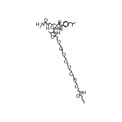 CCCCC(=O)NCCOCCOCCOCCOCCOCCOCCOCCOCCC(=O)N[C@H](C(=O)N[C@@H](CCCNC(N)=O)C(=O)Nc1ccc(CC(C)C)cc1)C(C)C